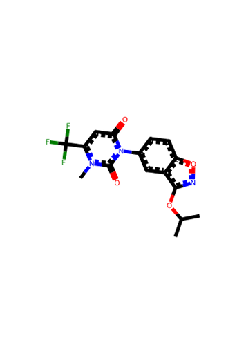 CC(C)Oc1noc2ccc(-n3c(=O)cc(C(F)(F)F)n(C)c3=O)cc12